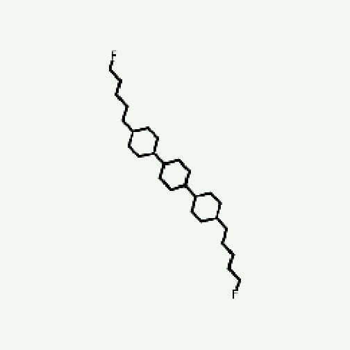 FCCCCCC1CCC(C2CCC(C3CCC(CCCCCF)CC3)CC2)CC1